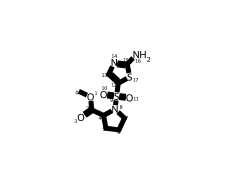 COC(=O)C1CCCN1S(=O)(=O)c1cnc(N)s1